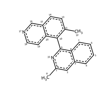 Cc1cc2ccccc2c(-c2c(C)ccc3cnccc23)n1